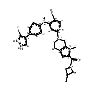 CC1CN(C(=O)c2cc3c(n2C)CN(c2ncc(F)c(Nc4ccc(-c5c[nH]nc5F)cc4)n2)CC3)C1